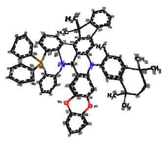 Cc1cc2c(cc1N1c3cc4c(cc3B3c5c1cc1c(c5-c5cccc6c5N3c3ccccc3S6(c3ccccc3)c3ccccc3)C(C)(C)c3ccccc3-1)Oc1ccccc1O4)C(C)(C)CCC2(C)C